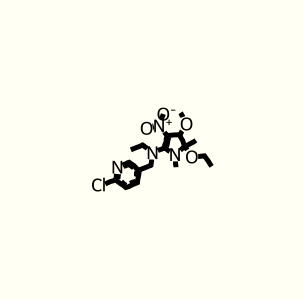 CCOC1(C)C(OC)C([N+](=O)[O-])=C(N(CC)Cc2ccc(Cl)nc2)N1C